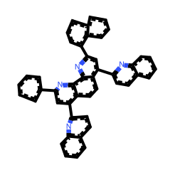 c1ccc(-c2cc(-c3ccc4ccccc4n3)c3ccc4c(-c5ccc6ccccc6n5)cc(-c5cccc6ccccc56)nc4c3n2)cc1